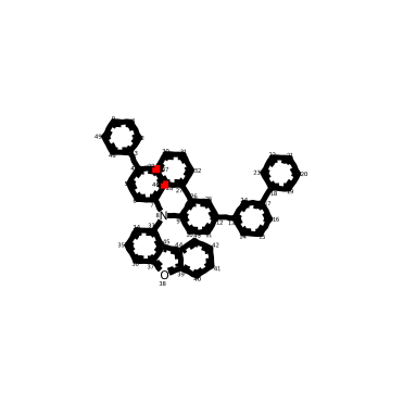 c1ccc(-c2ccc(N(c3ccc(-c4cccc(-c5ccccc5)c4)cc3-c3ccccc3)c3cccc4oc5ccccc5c34)cc2)cc1